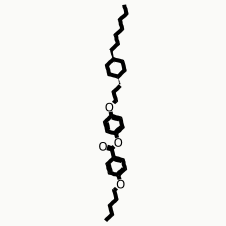 CCCCCCC[C@H]1CC[C@H](CCCOc2ccc(OC(=O)c3ccc(OCCCCC)cc3)cc2)CC1